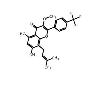 COc1c(-c2ccc(C(F)(F)F)cc2)oc2c(CC=C(C)C)c(O)cc(O)c2c1=O